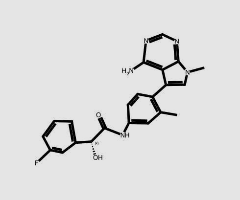 Cc1cc(NC(=O)[C@H](O)c2cccc(F)c2)ccc1-c1cn(C)c2ncnc(N)c12